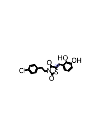 O=C1S/C(=C\c2cccc(O)c2O)C(=O)N1CCc1ccc(Cl)cc1